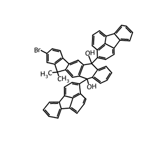 CC1(C)c2cc(Br)ccc2-c2cc3c(cc21)C(O)(c1ccc2c4c(cccc14)-c1ccccc1-2)c1ccccc1C3(O)c1ccc2c3c(cccc13)-c1ccccc1-2